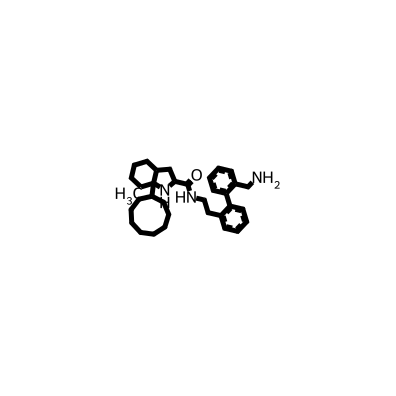 CC1CCCC2CC(C(=O)NCCc3ccccc3-c3ccccc3CN)NC12C1CCCCCCCC1